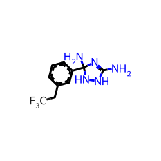 NC1=NC(N)(c2cccc(CC(F)(F)F)c2)NN1